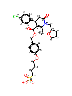 CC1=C(C(=O)OCc2ccc(OCCCCS(=O)(=O)O)cc2)C(c2ccc(Cl)cc2)CC(=O)N1C[C@H]1CCCO1